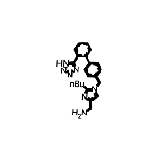 CCCCc1nc(CN)cn1Cc1ccc(-c2ccccc2-c2nnn[nH]2)cc1